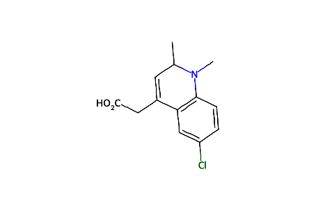 CC1C=C(CC(=O)O)c2cc(Cl)ccc2N1C